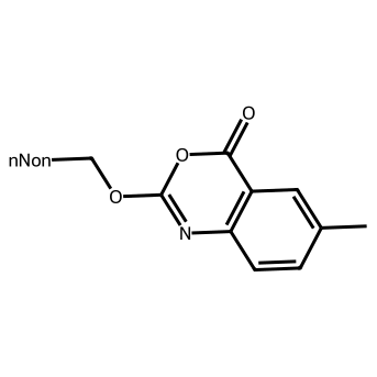 CCCCCCCCCCOc1nc2ccc(C)cc2c(=O)o1